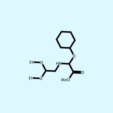 CCOC(CNC(OC1CCCCC1)C(=O)OC)OCC